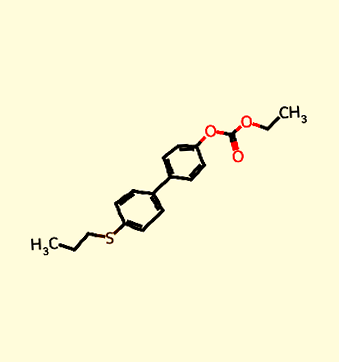 CCCSc1ccc(-c2ccc(OC(=O)OCC)cc2)cc1